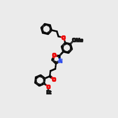 CCOc1ccccc1C(=O)CCc1coc(-c2ccc(OC)c(OCCc3ccccc3)c2)n1